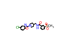 CS(=O)(=O)c1cccc(C(=O)NCC2CCN(c3nc4cc(Cl)ccc4o3)CC2)c1